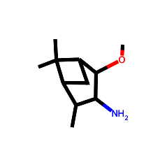 COC1C(N)C(C)C2CC1C2(C)C